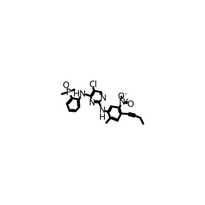 CCC#Cc1cc(C)c(Nc2ncc(Cl)c(Nc3ccccc3P(C)(C)=O)n2)cc1[N+](=O)[O-]